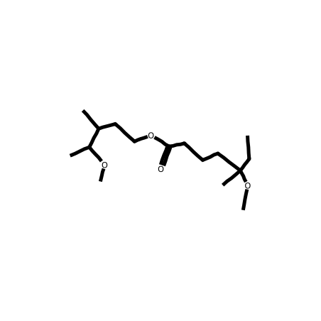 CCC(C)(CCCC(=O)OCCC(C)C(C)OC)OC